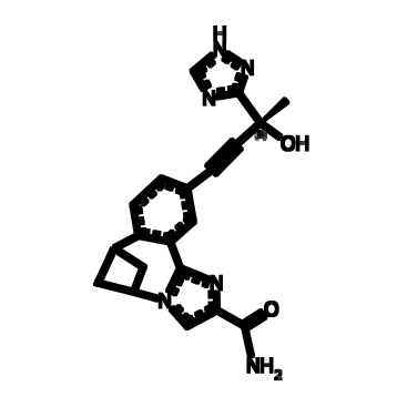 C[C@@](O)(C#Cc1ccc2c(c1)-c1nc(C(N)=O)cn1C1CC2C1)c1nc[nH]n1